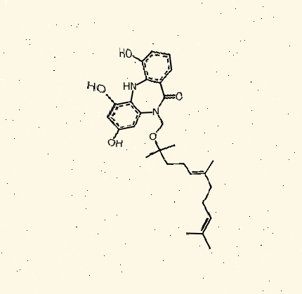 CC(C)=CCC/C(C)=C/CCC(C)(C)OCN1C(=O)c2cccc(O)c2Nc2c(O)cc(O)cc21